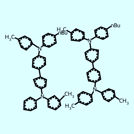 CCCCc1ccc(N(c2ccc(C)cc2)c2ccc(-c3ccc(N(c4ccc(C)cc4)c4ccc(C)cc4)cc3)cc2)cc1.CCCCc1ccc(N(c2ccc(C)cc2)c2ccc(-c3ccc(N(c4ccccc4)c4cccc(C)c4)cc3)cc2)cc1